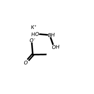 CC(=O)[O-].OBO.[K+]